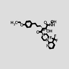 CCOc1ccc(CCC[C@@H](C(=O)N2CCN(C3N=CC=CC3C(F)(F)F)CC2)[C@H](O)C(=O)NO)cc1